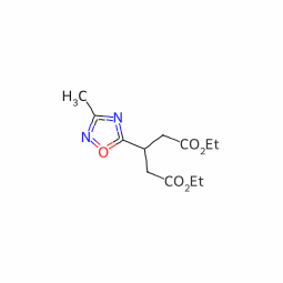 CCOC(=O)CC(CC(=O)OCC)c1nc(C)no1